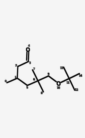 CC(CC=O)CC(C)(C)COC(C)(C)C